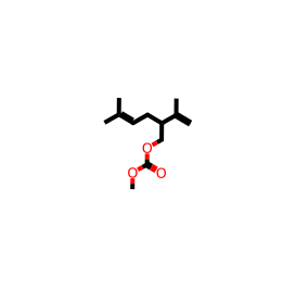 C=C(C)C(CC=C(C)C)COC(=O)OC